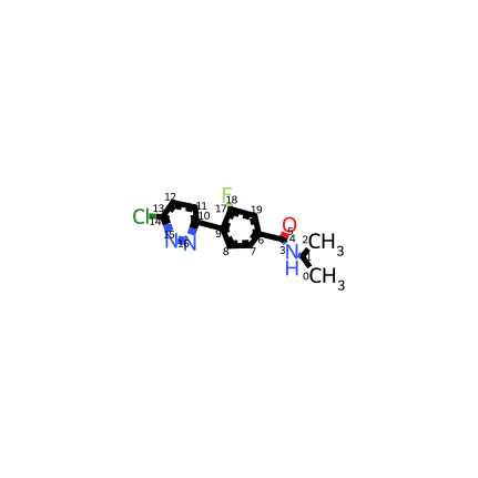 CC(C)NC(=O)c1ccc(-c2ccc(Cl)nn2)c(F)c1